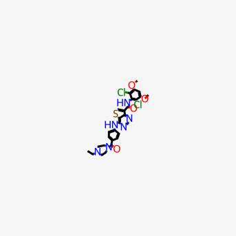 CCN1CCN(C(=O)c2ccc(Nc3ncnc4c(C(=O)Nc5c(Cl)c(OC)cc(OC)c5Cl)csc34)cc2)CC1